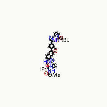 COC(=O)N[C@H](C(=O)N1CCC[C@H]1c1nc2c(ccc3cc4c(cc32)OCc2cc(-c3cnc([C@@H]5CCCN5C(=O)OC(C)(C)C)[nH]3)ccc2-4)[nH]1)C(C)C